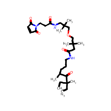 CCC(C)(CC)C(=O)C(C)CCCNC(=O)CC(C)(C)COCC(C)(C)CNC(=O)CCN1C(=O)C=CC1=O